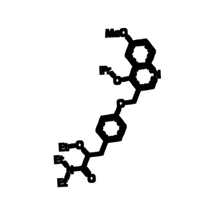 CCOC(Cc1ccc(OCc2cnc3ccc(OC)cc3c2OC(C)C)cc1)C(=O)N(CC)CC